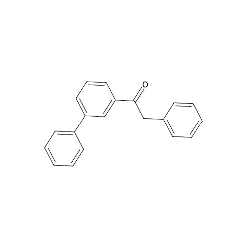 O=C(Cc1ccccc1)c1cccc(-c2ccccc2)c1